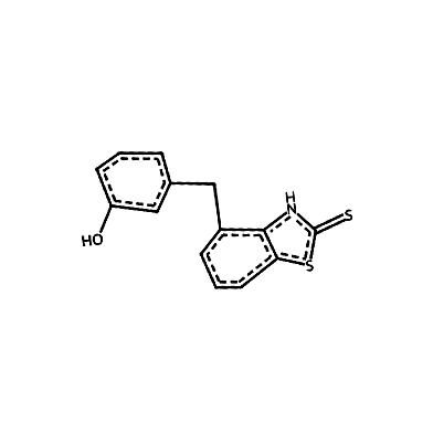 Oc1cccc(Cc2cccc3sc(=S)[nH]c23)c1